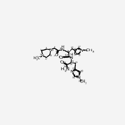 CN1CCN(CC(=O)N[C@@H](Cc2cn(C)cn2)C(=O)N[C@@H](Cc2cn(C)cn2)C(N)=O)CC1